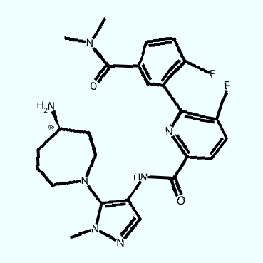 CN(C)C(=O)c1ccc(F)c(-c2nc(C(=O)Nc3cnn(C)c3N3CCC[C@@H](N)CC3)ccc2F)c1